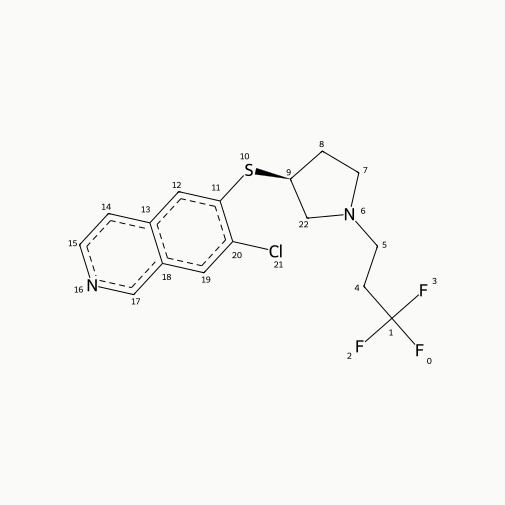 FC(F)(F)CCN1CC[C@H](Sc2cc3ccncc3cc2Cl)C1